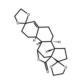 O=C1OC2C[C@]13[C@@H](CCC31OCCO1)[C@@H]1CCC3=CC4(CC[C@@H]3[C@@H]21)OCCO4